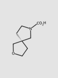 O=C(O)N1CC[C@@]2(CCOC2)C1